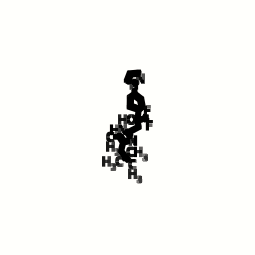 Cc1[nH]c(CC(O)(c2ccc(-n3cccn3)cc2)C(F)F)nc1CC(C)(C)C